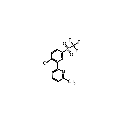 Cc1cccc(-c2cc(S(=O)(=O)C(F)(F)F)ccc2Cl)n1